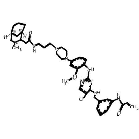 C=CC(=O)Nc1cccc(CNc2nc(Nc3ccc(N4CCN(CCCNC(=O)CC5[C@@H]6CCC[C@@H](C6)C[C@@H]5C)CC4)cc3OC)ncc2Cl)c1